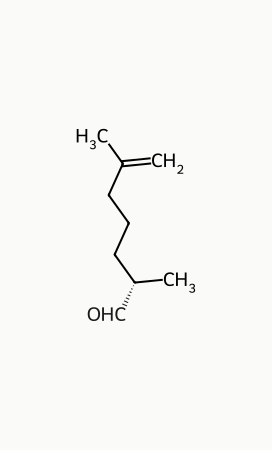 C=C(C)CCC[C@H](C)C=O